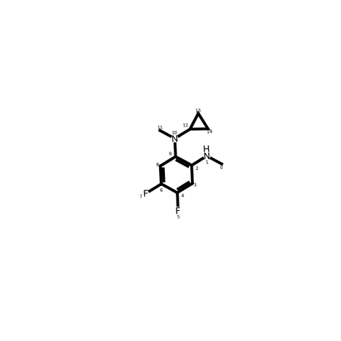 CNc1cc(F)c(F)cc1N(C)C1CC1